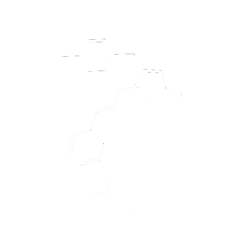 Cc1ccc(C(=O)c2cc(F)cn2C/C=C/c2cccc(O[C@@H](C)C(=O)O)c2)cc1